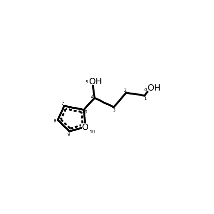 OCCCC(O)c1ccco1